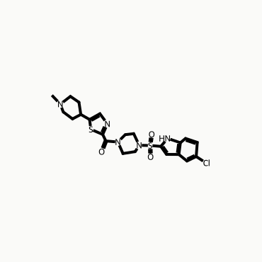 CN1CCC(c2cnc(C(=O)N3CCN(S(=O)(=O)c4cc5cc(Cl)ccc5[nH]4)CC3)s2)CC1